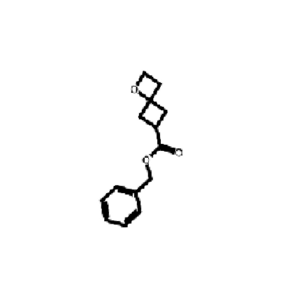 O=C(OCc1ccccc1)C1CC2(CCO2)C1